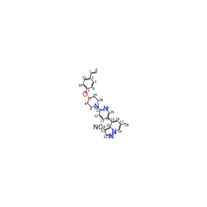 C=Cc1ccc(OC2CCN(c3ccc(-c4cc(C)cn5ncc(C#N)c45)cn3)CC2)cc1